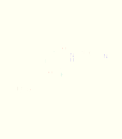 COc1ccc(COc2c(F)cc(C(=O)NC[C@]34CC[C@](C#N)(CC3)CC4)c(F)c2F)cc1